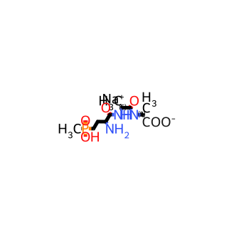 C[C@H](NC(=O)[C@H](C)NC(=O)C(N)CCP(C)(=O)O)C(=O)[O-].[Na+]